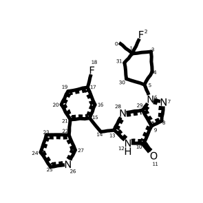 CC1(F)CCC(n2ncc3c(=O)[nH]c(Cc4cc(F)ccc4-c4cccnc4)nc32)CC1